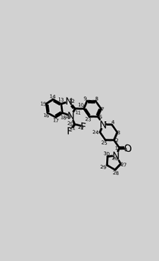 O=C(C1CCN(c2cccc(-c3nc4ccccc4n3C(F)F)c2)CC1)N1CCCC1